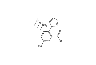 CCC(=O)c1cc(C(C)(C)C)ccc1C1C=CC=C1.CN.CN.CN